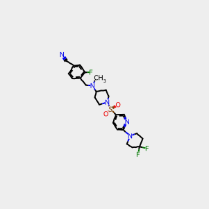 CN(Cc1ccc(C#N)cc1F)C1CCN(S(=O)(=O)c2ccc(N3CCC(F)(F)CC3)nc2)CC1